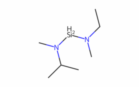 CCN(C)[SiH2]N(C)C(C)C